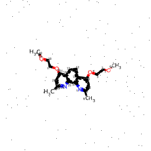 COCCOc1cc(C)nc2c1ccc1c(OCCOC)cc(C)nc12